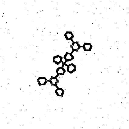 c1ccc(-c2nc(-c3ccccc3)nc(-c3ccc([Si](c4ccccc4)(c4ccccc4)c4ccc(-c5nc(-c6ccncc6)nc(-c6ccncc6)n5)cc4)cc3)n2)cc1